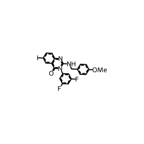 COc1ccc(CNc2nc3ccc(I)cc3c(=O)n2-c2cc(F)cc(F)c2)cc1